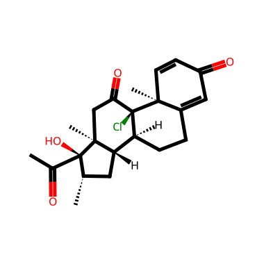 CC(=O)[C@@]1(O)[C@@H](C)C[C@H]2[C@@H]3CCC4=CC(=O)C=C[C@]4(C)[C@@]3(Cl)C(=O)C[C@@]21C